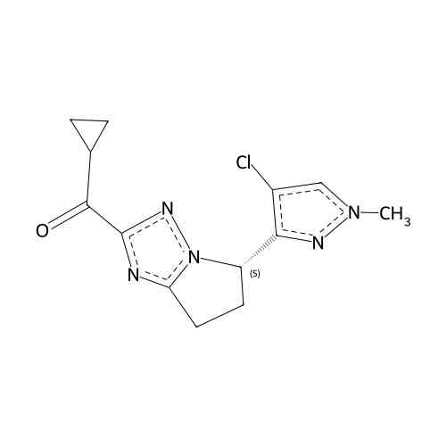 Cn1cc(Cl)c([C@@H]2CCc3nc(C(=O)C4CC4)nn32)n1